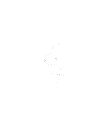 NCc1cc(C(O)C(F)(F)F)ccc1N